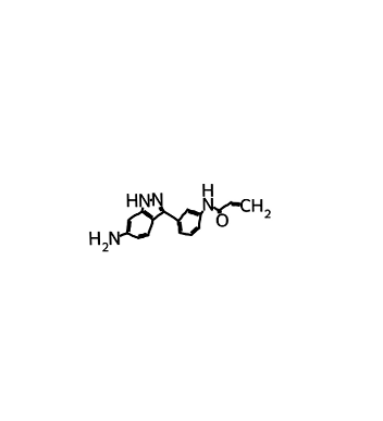 C=CC(=O)Nc1cccc(-c2n[nH]c3cc(N)ccc23)c1